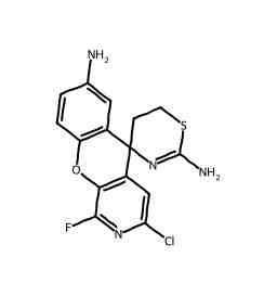 NC1=NC2(CCS1)c1cc(N)ccc1Oc1c2cc(Cl)nc1F